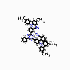 Cc1ccc2c(c1)c1cc(C)ccc1n2-c1ccc(-c2nc(-c3ccccc3)nc(-c3ccc(-n4c5ccc(C)cc5c5cc(C)ccc54)c(-c4ccccc4C#N)c3)n2)cc1C#N